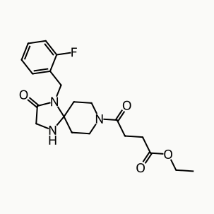 CCOC(=O)CCC(=O)N1CCC2(CC1)NCC(=O)N2Cc1ccccc1F